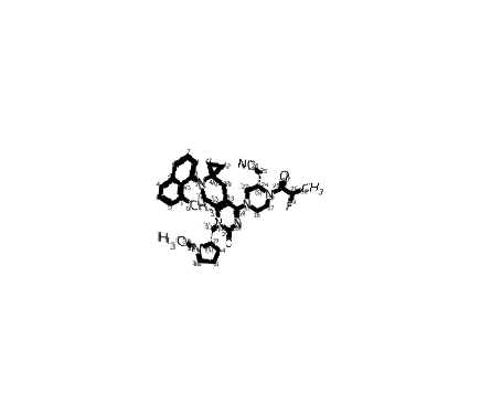 Cc1cccc2cccc(N3Cc4c(c(N5CCN(C(=O)C(C)F)[C@@H](CC#N)C5)nc(=O)n4C[C@@H]4CCCN4C)CC34CC4)c12